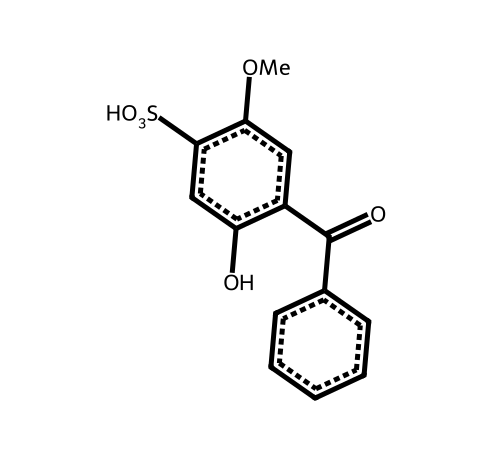 COc1cc(C(=O)c2ccccc2)c(O)cc1S(=O)(=O)O